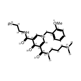 COc1ccccc1Cn1cc(C(=O)NCCC(C)C)c(=O)c(C(=O)N(C)CCCN(C)C)c1